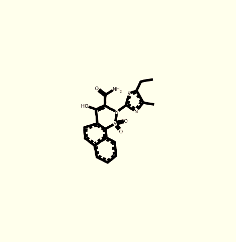 CCc1sc(N2C(C(N)=O)=C(O)c3ccc4ccccc4c3S2(=O)=O)nc1C